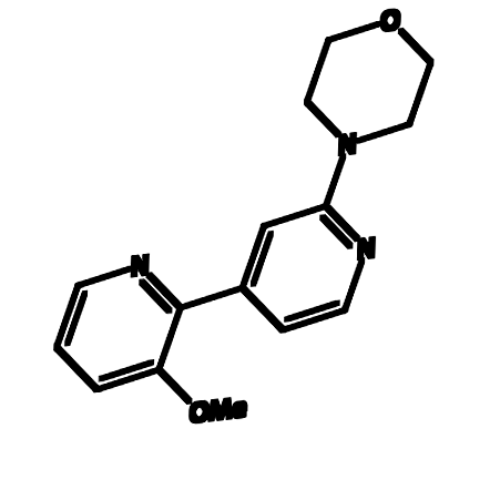 COc1cccnc1-c1ccnc(N2CCOCC2)c1